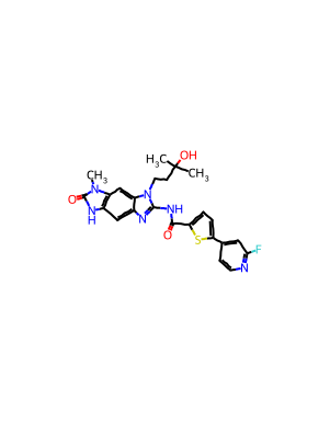 Cn1c(=O)[nH]c2cc3nc(NC(=O)c4ccc(-c5ccnc(F)c5)s4)n(CCC(C)(C)O)c3cc21